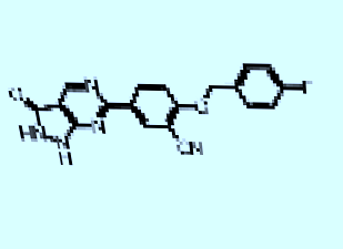 N#Cc1cc(-c2ncc3c(=O)[nH][nH]c3n2)ccc1OCc1ccc(F)cc1